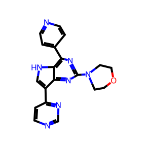 c1cc(-c2nc(N3CCOCC3)nc3c(-c4ccncn4)c[nH]c23)ccn1